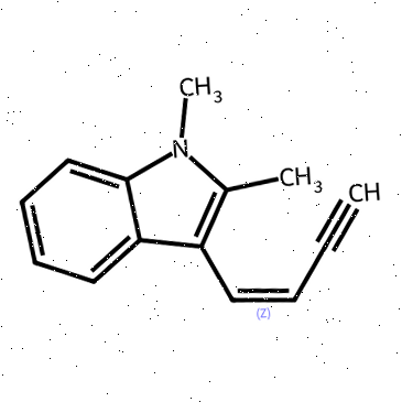 C#C/C=C\c1c(C)n(C)c2ccccc12